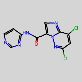 O=C(Nc1ccncn1)c1cnc2c(Cl)cc(Cl)nn12